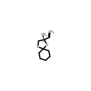 C=C[C@@]1(C)COC2(CCCCC2)O1